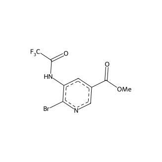 COC(=O)c1cnc(Br)c(NC(=O)C(F)(F)F)c1